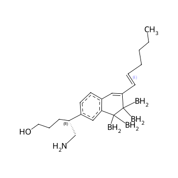 BC1(B)C(/C=C/CCCC)=Cc2ccc([C@H](CN)CCCO)cc2C1(B)B